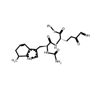 CC(C)SC(=O)[C@H](CCC(=O)C=N)NC(=O)[C@H](Cc1c[nH]c2c1C=CCC2C)NC(N)=O